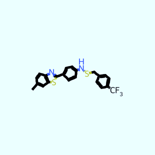 Cc1ccc2nc(-c3ccc(NSCc4ccc(C(F)(F)F)cc4)cc3)sc2c1